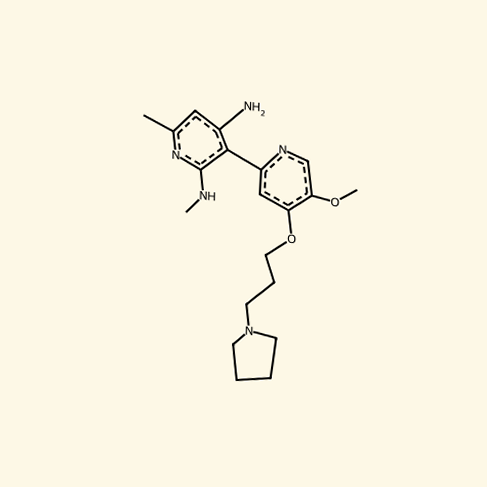 CNc1nc(C)cc(N)c1-c1cc(OCCCN2CCCC2)c(OC)cn1